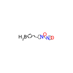 Bc1ccc(/C=C/C2CCN(C(=O)CN3CCOCC3)CC2)cc1